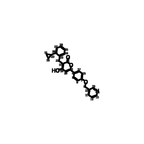 O=c1oc(-c2ccc(OCc3cccnc3)cc2)cc(O)c1Cc1ccccc1C1CC1